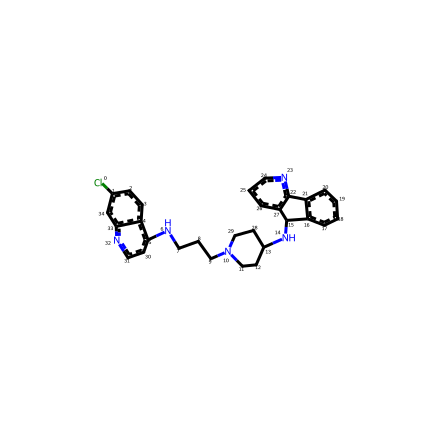 Clc1ccc2c(NCCCN3CCC(NC4c5ccccc5-c5ncccc54)CC3)ccnc2c1